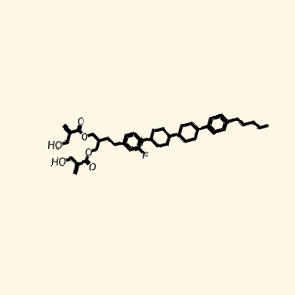 C=C(CO)C(=O)OCC(CCc1ccc(C2CCC(C3CCC(c4ccc(CCCCC)cc4)CC3)CC2)c(F)c1)COC(=O)C(=C)CO